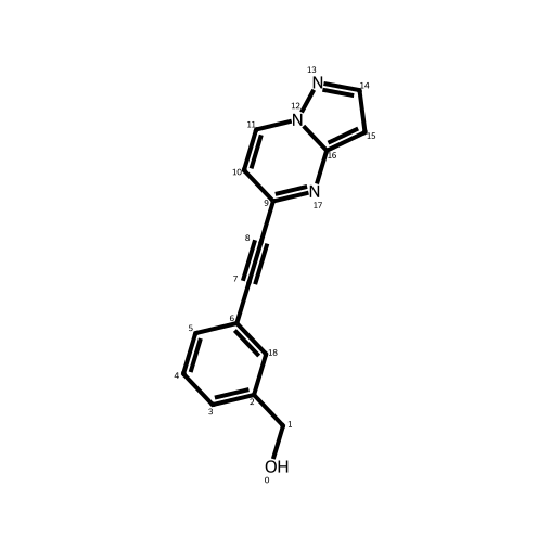 OCc1cccc(C#Cc2ccn3nccc3n2)c1